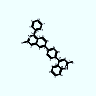 Cc1cc2cc(-c3ccc(-c4cc(C)nc5ccccc45)cc3)ccc2c(-c2ccccc2)n1